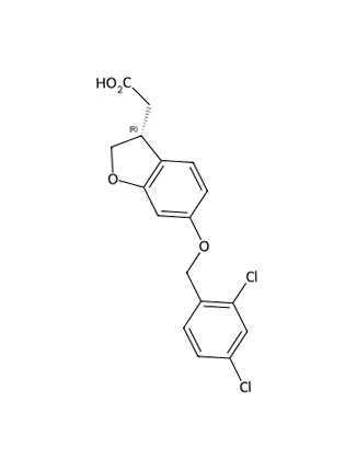 O=C(O)C[C@H]1COc2cc(OCc3ccc(Cl)cc3Cl)ccc21